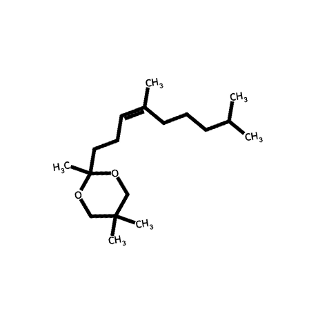 CC(=CCCC1(C)OCC(C)(C)CO1)CCCC(C)C